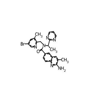 Cc1cc2cc(C(=O)N(Cc3ncc(Br)cc3C)[C@H](C)c3ncccn3)ccc2nc1N